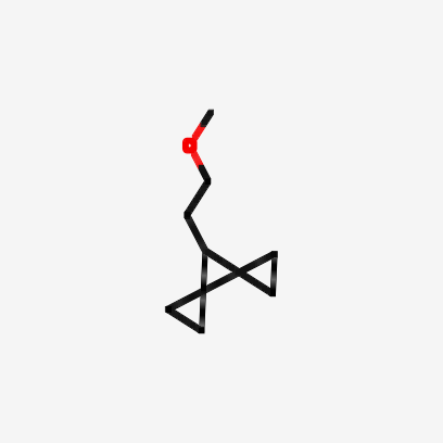 COCCC1C2(CC2)C12CC2